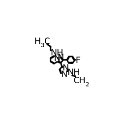 C=CCNc1nccc(-c2c(-c3ccc(F)cc3)nn3c(NCCCC)cccc23)n1